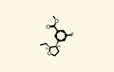 CC[C@@H]1OCC[C@@H]1c1cc(F)cc(C(=O)OC)c1